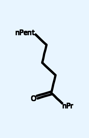 CCCCCCCCC(=O)CCC